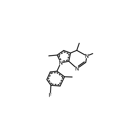 Cc1cc(F)ccc1-n1c(C)cc2c1N=CN(C)C2C